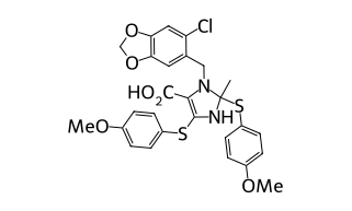 COc1ccc(SC2=C(C(=O)O)N(Cc3cc4c(cc3Cl)OCO4)C(C)(Sc3ccc(OC)cc3)N2)cc1